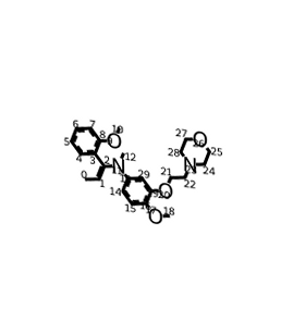 C/C=C(\c1ccccc1OC)N(C)c1ccc(OC)c(OCCN2CCOCC2)c1